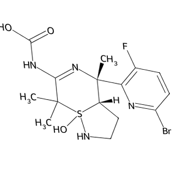 CC1(C)C(NC(=O)O)=N[C@](C)(c2nc(Br)ccc2F)[C@@H]2CCNS21O